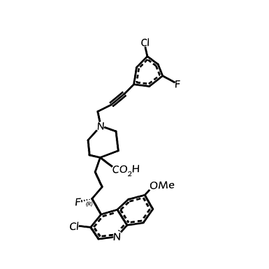 COc1ccc2ncc(Cl)c([C@H](F)CCC3(C(=O)O)CCN(CC#Cc4cc(F)cc(Cl)c4)CC3)c2c1